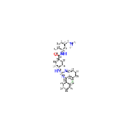 Cc1ccc(CN(C)C)cc1NC(=O)c1ccc(Nc2nc(-c3ccccc3F)c3ccccc3n2)cc1